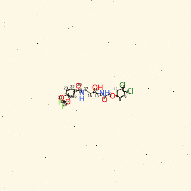 O=C(COc1ccc(Cl)c(Cl)c1)NC[C@@H](O)CCNC(=O)c1ccc2c(c1)OC(F)(F)O2